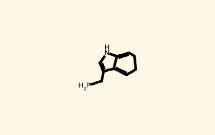 PCc1c[nH]c2c1=CCCC=2